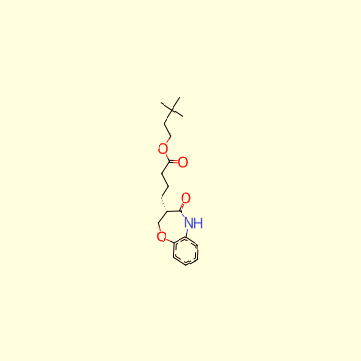 CC(C)(C)CCOC(=O)CCC[C@H]1COc2ccccc2NC1=O